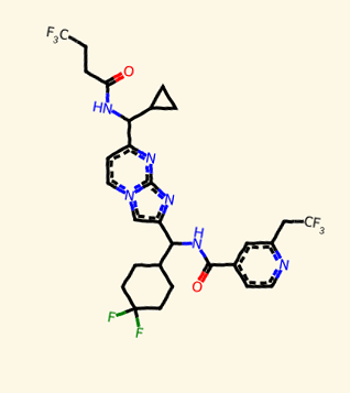 O=C(CCC(F)(F)F)NC(c1ccn2cc(C(NC(=O)c3ccnc(CC(F)(F)F)c3)C3CCC(F)(F)CC3)nc2n1)C1CC1